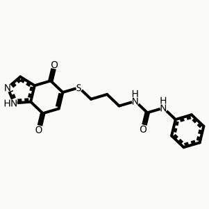 O=C(NCCCSC1=CC(=O)c2[nH]ncc2C1=O)Nc1ccccc1